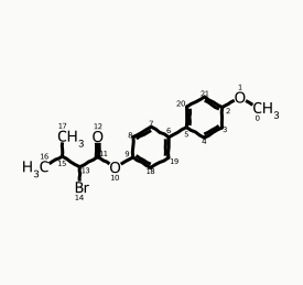 COc1ccc(-c2ccc(OC(=O)C(Br)C(C)C)cc2)cc1